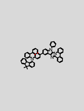 CC1(C)c2ccccc2-c2c(N(c3ccc(-c4ccc5c(c4)c4nc6c7ccccc7c7ccccc7n6c4n5-c4ccccc4)cc3)c3ccccc3-c3ccccc3)cccc21